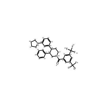 O=C(c1cc(C(F)(F)F)cc(C(F)(F)F)c1)N1CCC(c2cccc(N3CCCC3)c2)C(c2ccccc2)C1